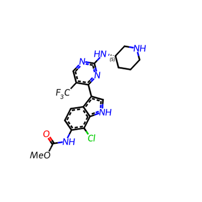 COC(=O)Nc1ccc2c(-c3nc(N[C@H]4CCCNC4)ncc3C(F)(F)F)c[nH]c2c1Cl